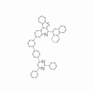 C1=Cc2c(c(-c3nc4cc(-c5cccc(-c6ccc(-c7cc(-c8ccccc8)nc(-c8ccccc8)n7)cc6)c5)ccc4c4c3sc3ccccc34)cc3ccccc23)CC1